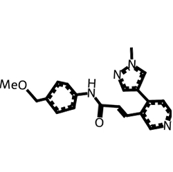 COCc1ccc(NC(=O)C=Cc2cnccc2-c2cnn(C)c2)cc1